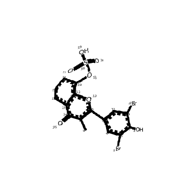 Cc1c(-c2cc(Br)c(O)c(Br)c2)oc2c(OS(=O)(=O)O)cccc2c1=O